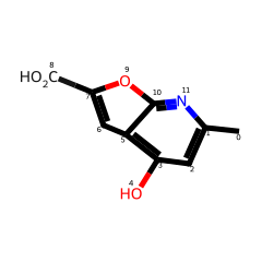 Cc1cc(O)c2cc(C(=O)O)oc2n1